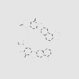 CCC1(O)C(=O)OCc2c1cc1n(c2=O)Cc2cc3c(N)cccc3nc2-1.CC[C@@]1(O)C(=O)OCc2c1cc1n(c2=O)Cc2cc3c(CN(C)C)c(O)ccc3nc2-1